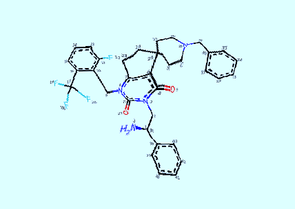 N[C@@H](Cn1c(=O)c2c(n(Cc3c(F)cccc3C(F)(F)F)c1=O)CCC21CCN(Cc2ccccc2)CC1)c1ccccc1